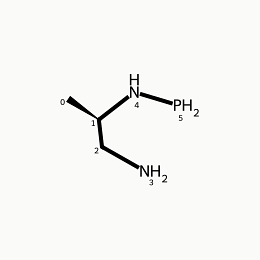 C[C@H](CN)NP